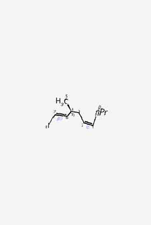 CCC/C=C\C[C@H](C)/C=C/I